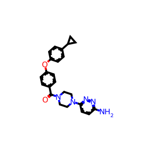 Nc1ccc(N2CCN(C(=O)c3ccc(Oc4ccc(C5CC5)cc4)cc3)CC2)nn1